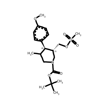 COc1ccc([C@@H]2C(C)CN(C(=O)OC(C)(C)C)C[C@H]2COS(C)(=O)=O)cc1